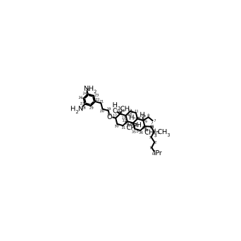 CC(C)CCC[C@@H](C)[C@H]1CC[C@H]2[C@@H]3CCC4C(C)(C)C(OCCCc5cc(N)cc(N)c5)CC[C@]4(C)[C@H]3CC[C@]12C